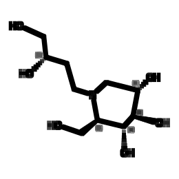 OC[C@@H](O)CCN1C[C@H](O)[C@@H](O)[C@H](O)[C@H]1CO